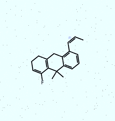 C/C=C\c1cccc2c1CC1=C(C(F)=CCC1)C2(C)C